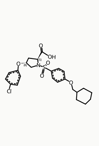 O=C(O)[C@@H]1C[C@@H](Oc2ccc(Cl)cc2)CN1S(=O)(=O)c1ccc(OCC2CCCCC2)cc1